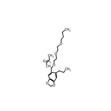 CCCC.CCCCOCCOCCOCc1cc2c(cc1CCC)OCO2.[GaH3]